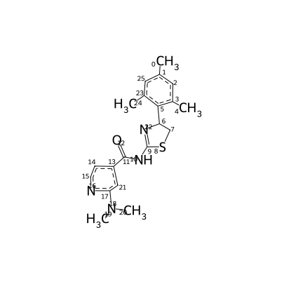 Cc1cc(C)c(C2CSC(NC(=O)c3ccnc(N(C)C)c3)=N2)c(C)c1